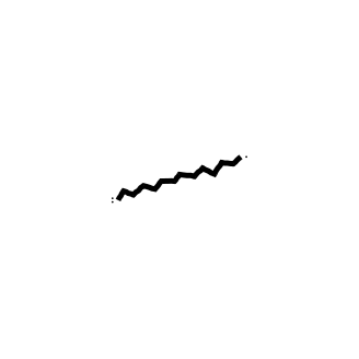 [CH]CCCCCCCCCCCC[CH2]